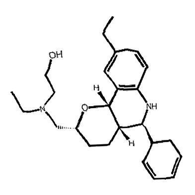 CCc1ccc2c(c1)[C@H]1O[C@@H](CN(CC)CCO)CC[C@H]1[C@H](C1C=CC=CC1)N2